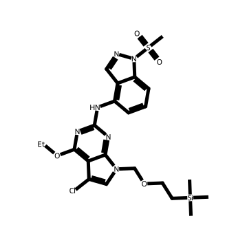 CCOc1nc(Nc2cccc3c2cnn3S(C)(=O)=O)nc2c1c(Cl)cn2COCC[Si](C)(C)C